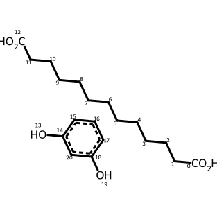 O=C(O)CCCCCCCCCCCC(=O)O.Oc1cccc(O)c1